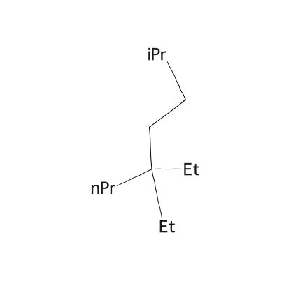 CCCC(CC)(CC)CCC(C)C